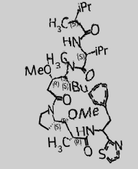 CC[C@H](C)[C@@H]([C@@H](CC(=O)N1CCC[C@H]1[C@H](OC)[C@@H](C)C(=O)NC(Cc1ccccc1)c1nccs1)OC)N(C)C(=O)[C@@H](NC(=O)[C@@H](C)C(C)C)C(C)C